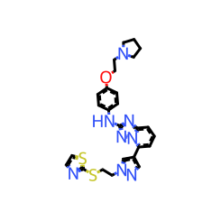 c1cc(-c2cnn(CCSc3nccs3)c2)n2nc(Nc3ccc(OCCN4CCCC4)cc3)nc2c1